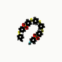 Cc1ccc(Sc2ccc(S(=O)(=O)c3ccc(Sc4ccc(Sc5ccc(Sc6ccc(S(=O)(=O)c7ccc(F)cc7)cc6)cc5)cc4)cc3)cc2)cc1